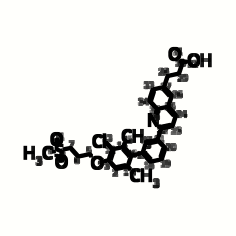 Cc1cc(OCCCS(C)(=O)=O)c(Cl)c(C)c1-c1cccc(-c2ccc3cc(CCC(=O)O)ccc3n2)c1